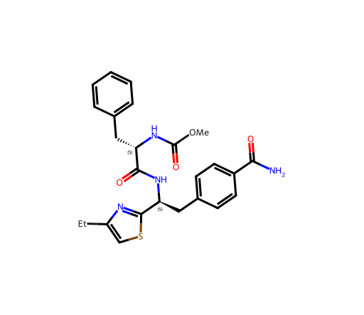 CCc1csc([C@H](Cc2ccc(C(N)=O)cc2)NC(=O)[C@H](Cc2ccccc2)NC(=O)OC)n1